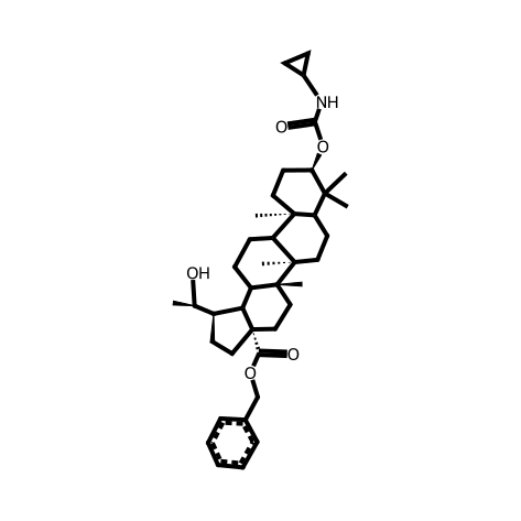 C[C@@H](O)[C@@H]1CC[C@]2(C(=O)OCc3ccccc3)CC[C@]3(C)C(CCC4[C@@]5(C)CC[C@@H](OC(=O)NC6CC6)C(C)(C)C5CC[C@]43C)C12